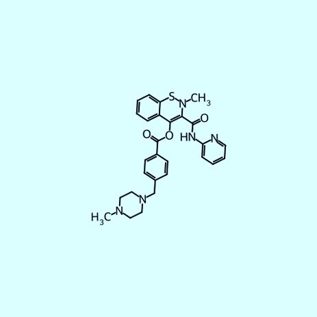 CN1CCN(Cc2ccc(C(=O)OC3=C(C(=O)Nc4ccccn4)N(C)Sc4ccccc43)cc2)CC1